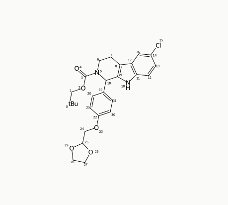 CC(C)(C)COC(=O)N1CCc2c([nH]c3ccc(Cl)cc23)C1c1ccc(OCC2OCCO2)cc1